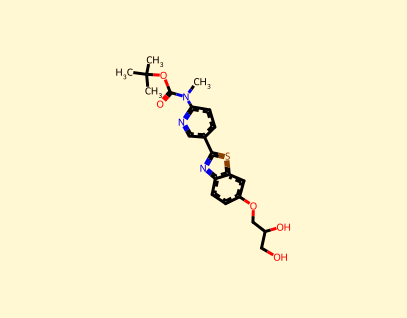 CN(C(=O)OC(C)(C)C)c1ccc(-c2nc3ccc(OCC(O)CO)cc3s2)cn1